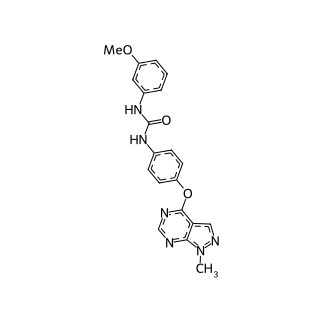 COc1cccc(NC(=O)Nc2ccc(Oc3ncnc4c3cnn4C)cc2)c1